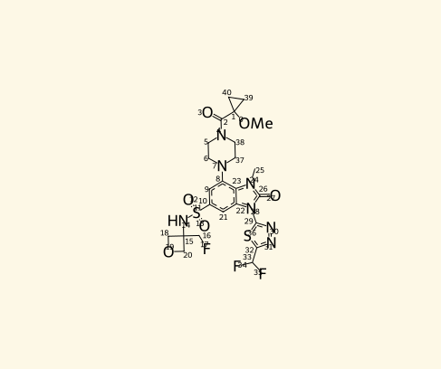 COC1(C(=O)N2CCN(c3cc(S(=O)(=O)NC4(CF)COC4)cc4c3n(C)c(=O)n4-c3nnc(C(F)F)s3)CC2)CC1